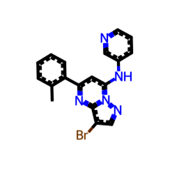 Cc1ccccc1-c1cc(Nc2cccnc2)n2ncc(Br)c2n1